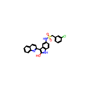 O=S(=O)(Cc1cccc(Cl)c1)Nc1ccc2[nH]c(O)c(-c3ccc4ccccc4n3)c2c1